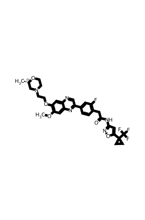 COc1cc2nc(-c3ccc(CC(=O)Nc4cc(C5(C(F)(F)F)CC5)on4)c(F)c3)cnc2cc1OCCN1CCO[C@@H](C)C1